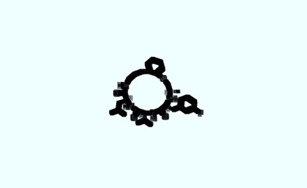 CC(C)C[C@@H]1NC(=O)[C@@H](C(C)C)NC(=O)[C@@H](Cc2cccc(F)c2)N[C@@H](C)COc2ccccc2CCCNC1=O